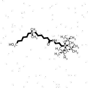 C[N+](C)(CCCCCC(=O)O)CCCCCC(=O)NCCC[Si](O[Si](C)(C)C)(O[Si](C)(C)C)O[Si](C)(C)C